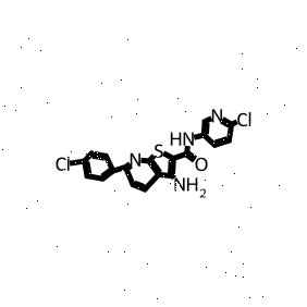 Nc1c(C(=O)Nc2ccc(Cl)nc2)sc2nc(-c3ccc(Cl)cc3)ccc12